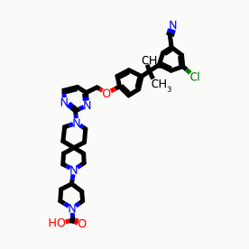 CC(C)(c1ccc(OCc2ccnc(N3CCC4(CC3)CCN(C3CCN(C(=O)O)CC3)CC4)n2)cc1)c1cc(Cl)cc(C#N)c1